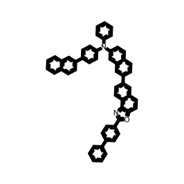 c1ccc(-c2ccc(-c3nc4c(ccc5cc(-c6ccc7ccc(N(c8ccccc8)c8ccc(-c9ccc%10ccccc%10c9)cc8)cc7c6)ccc54)o3)cc2)cc1